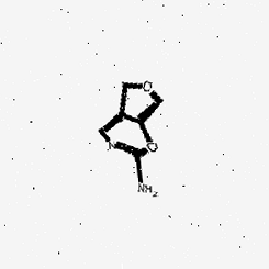 NC1=NC=C2COC=C2O1